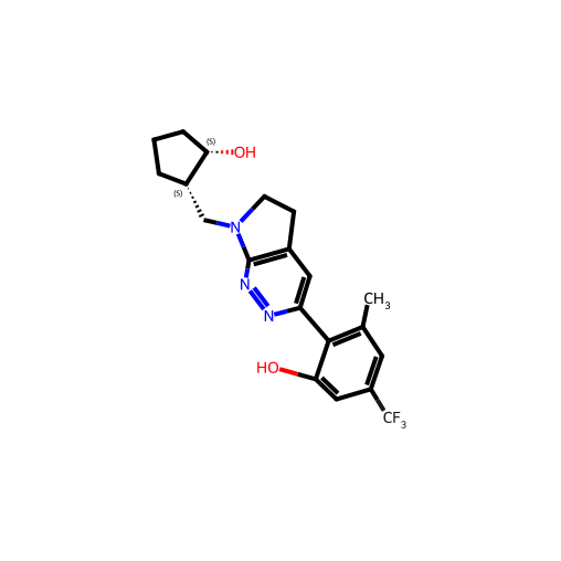 Cc1cc(C(F)(F)F)cc(O)c1-c1cc2c(nn1)N(C[C@@H]1CCC[C@@H]1O)CC2